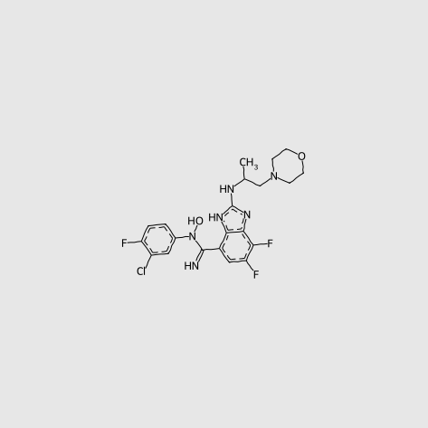 CC(CN1CCOCC1)Nc1nc2c(F)c(F)cc(C(=N)N(O)c3ccc(F)c(Cl)c3)c2[nH]1